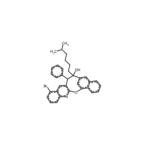 CN(C)CCCCC1(O)c2cc(c3ccccc3c2)Oc2nc3cccc(Br)c3cc2C1c1ccccc1